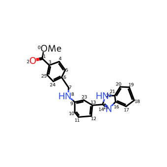 COC(=O)c1ccc(CNc2cccc(-c3nc4ccccc4[nH]3)c2)cc1